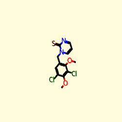 COc1c(Cl)cc(Cn2cccnc2=S)c(OC)c1Cl